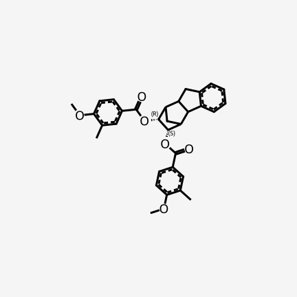 COc1ccc(C(=O)O[C@@H]2C3CC(C4c5ccccc5CC43)[C@@H]2OC(=O)c2ccc(OC)c(C)c2)cc1C